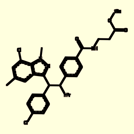 CCCC(c1ccc(C(=O)NCCC(=O)OC(C)(C)C)cc1)C(c1ccc(Cl)cc1)c1nn(C)c2c(Cl)cc(C)cc12